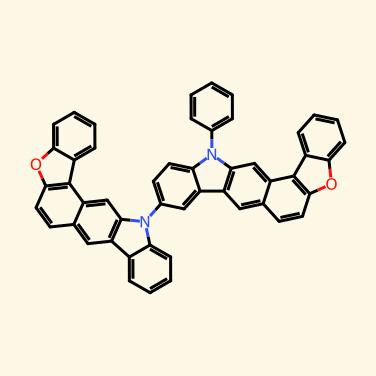 c1ccc(-n2c3ccc(-n4c5ccccc5c5cc6ccc7oc8ccccc8c7c6cc54)cc3c3cc4ccc5oc6ccccc6c5c4cc32)cc1